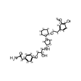 COc1ccc(CCO[C@H]2CCCC[C@H]2N2CC[C@H](NCC(O)COc3ccc(CC(N)=O)cc3)C2)cc1OC